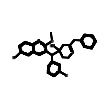 COc1nc2ccc(Br)cc2cc1C(c1cccc(Cl)c1)C1(O)CCN=C(Cc2ccccc2)C1